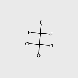 [O]C(Cl)(Cl)C(F)(F)F